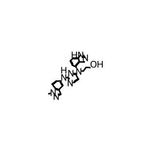 Cn1ncc2cc(Nc3nccc(N(CCCO)c4cccc5[nH]ncc45)n3)ccc21